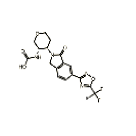 O=C(O)N[C@@H]1COCC[C@H]1N1Cc2ccc(-c3noc(C(F)(F)F)n3)cc2C1=O